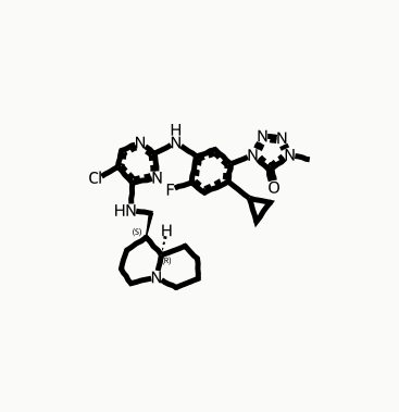 Cn1nnn(-c2cc(Nc3ncc(Cl)c(NC[C@@H]4CCCN5CCCC[C@H]45)n3)c(F)cc2C2CC2)c1=O